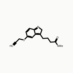 C#CCSc1ccc2c(c1)=C(CCCC(=O)NC)CN=2